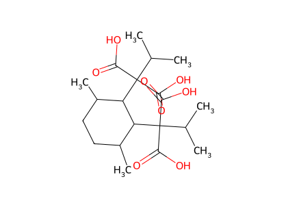 CC1CCC(C)C(C(C(=O)O)(C(=O)O)C(C)C)C1C(C(=O)O)(C(=O)O)C(C)C